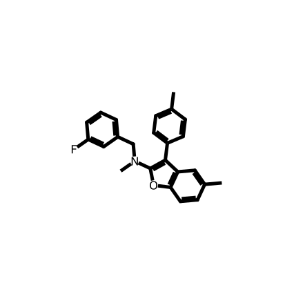 Cc1ccc(-c2c(N(C)Cc3cccc(F)c3)oc3ccc(C)cc23)cc1